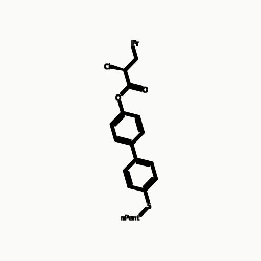 CCCCCSc1ccc(-c2ccc(OC(=O)[C@@H](Cl)CC(C)C)cc2)cc1